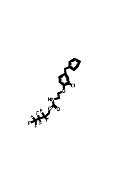 O=C(NCCOc1ccc(Cc2ccccc2)cc1Cl)OCC(F)(F)C(F)(F)C(F)(F)F